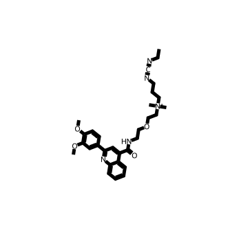 CCN=C=NCCC[N+](C)(C)CCOCCNC(=O)c1cc(-c2ccc(OC)c(OC)c2)nc2ccccc12